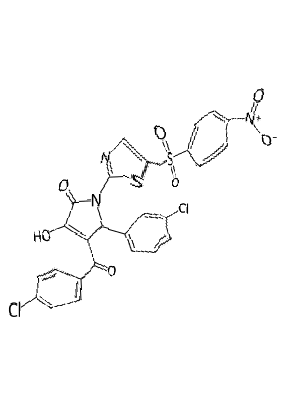 O=C(C1=C(O)C(=O)N(c2ncc(S(=O)(=O)c3ccc([N+](=O)[O-])cc3)s2)C1c1cccc(Cl)c1)c1ccc(Cl)cc1